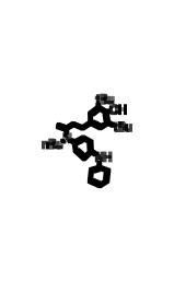 C=C(CCc1cc(C(C)(C)C)c(O)c(C(C)(C)C)c1)N(CCCC)c1ccc(Nc2ccccc2)cc1